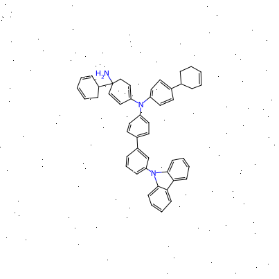 NC1(C2C=CC=CC2)C=CC(N(c2ccc(-c3cccc(-n4c5ccccc5c5ccccc54)c3)cc2)c2ccc(C3CC=CCC3)cc2)=CC1